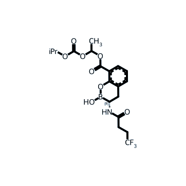 CC(C)OC(=O)OC(C)OC(=O)c1cccc2c1OB(O)[C@@H](NC(=O)CCC(F)(F)F)C2